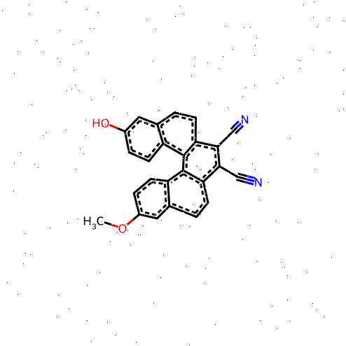 COc1ccc2c(ccc3c(C#N)c(C#N)c4ccc5cc(O)ccc5c4c32)c1